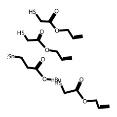 C=CCOC(=O)CS.C=CCOC(=O)CS.C=CCOC(=O)CS.CCCCOC(=O)C[CH2][Sn]